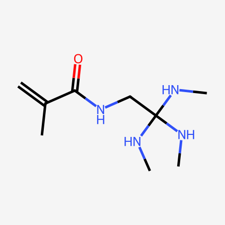 C=C(C)C(=O)NCC(NC)(NC)NC